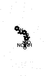 Cc1cc2cc(Oc3c(C)cc(-n4nc(C#N)c(=O)[nH]c4=O)cc3C)ccc2nc1-c1ccccc1